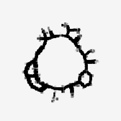 CC([C@@H]1OC(=O)C(C)(C)/C=C/c2ccc3ccc(nc3c2)[C@@H](C)NC(=O)[C@@H]2CCCN(N2)C(=O)[C@H](C)NC1=O)C(F)(F)F